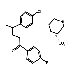 CC(CCC(=O)c1ccc(F)cc1)c1ccc(Cl)cc1.O=C(O)[C@@H]1CCCNC1